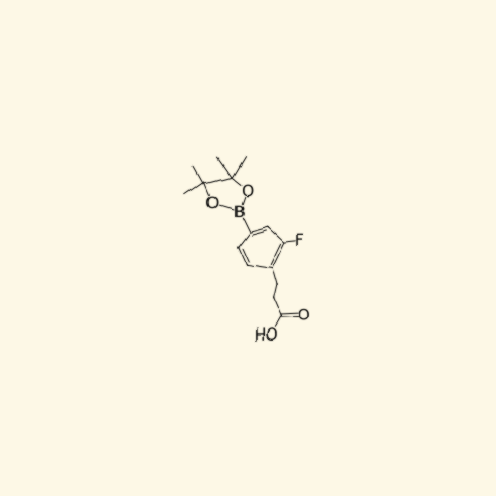 CC1(C)OB(c2ccc(CCC(=O)O)c(F)c2)OC1(C)C